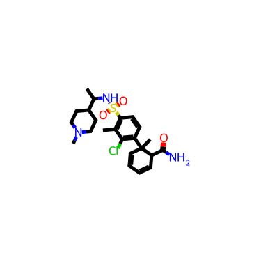 Cc1c(S(=O)(=O)NC(C)C2CCN(C)CC2)ccc(C2(C)C=CC=CC2C(N)=O)c1Cl